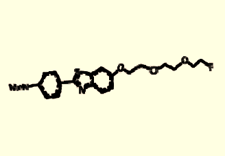 CNc1ccc(-c2nc3ccc(OCCOCCOCCF)cc3s2)cc1